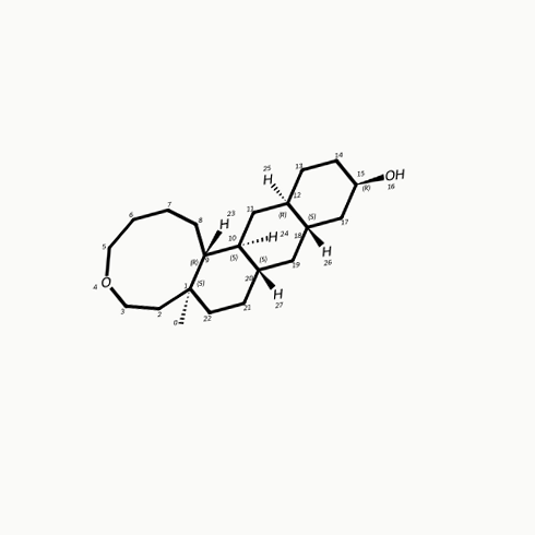 C[C@]12CCOCCCC[C@@H]1[C@H]1C[C@H]3CC[C@@H](O)C[C@@H]3C[C@@H]1CC2